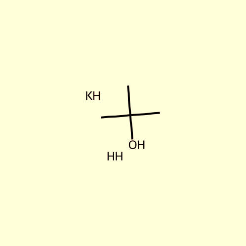 CC(C)(C)O.[HH].[KH]